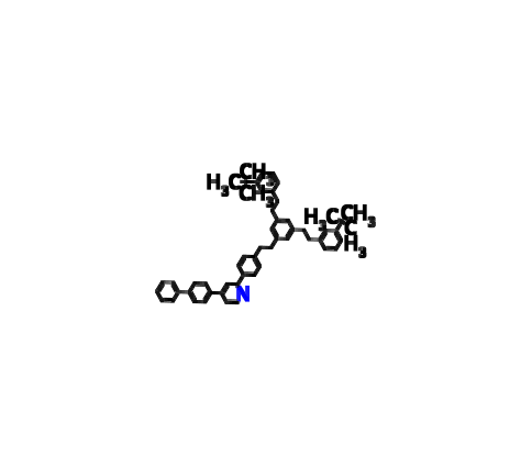 CC(C)(C)c1cccc(CCc2cc(CCc3ccc(-c4cc(-c5ccc(-c6ccccc6)cc5)ccn4)cc3)cc(CCc3cccc(C(C)(C)C)c3)c2)c1